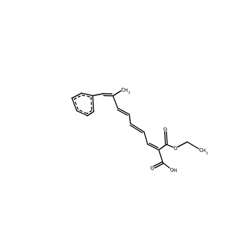 CCOC(=O)C(=CC=CC=CC(C)=Cc1ccccc1)C(=O)O